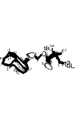 CC(C)(C)CC(F)(C(=O)OCOC1C2CC3CC(C2)CC1C3)C(C)(C)C